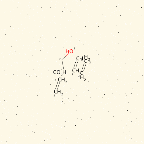 C=C.C=C.C=C.O=C(O)CO